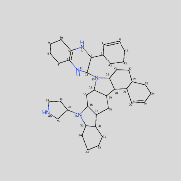 C1=CC(C2NC3=C(CCCC3)NC2N2C3CC4C(CC3C3C5C=CCCC5CCC32)C2CCCCC2N4C2CCNC2)CCC1